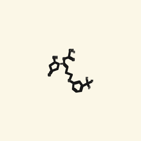 CC(=O)O/C(=C/CCOc1cccc(C(F)(F)F)c1)[C@@H]1CC(=O)C[C@H]1O